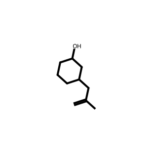 C=C(C)CC1CCCC(O)C1